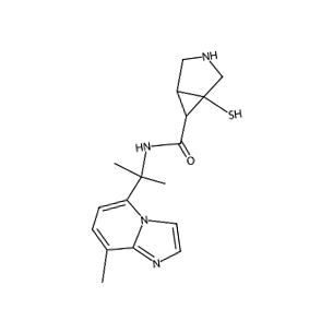 Cc1ccc(C(C)(C)NC(=O)C2C3CNCC32S)n2ccnc12